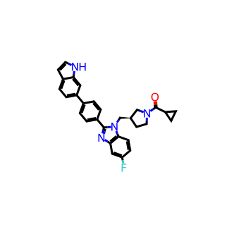 O=C(C1CC1)N1CC[C@@H](Cn2c(-c3ccc(-c4ccc5cc[nH]c5c4)cc3)nc3cc(F)ccc32)C1